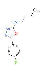 CCCCNc1nnc(-c2ccc(F)cc2)o1